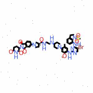 COc1cc(N2CCC(NCCNC(=O)[C@H]3CCN(c4ccc5c(c4)C(=O)N(C4CCC(=O)NC4=O)C5=O)C3)CC2)c(C)cc1Nc1ncc(Br)c(Nc2cccc3c2N(S(C)(=O)=O)CC3)n1